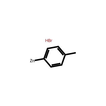 Br.Cc1cc[c]([Zn])cc1